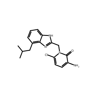 CC(C)Cc1cccc2[nH]c(Cn3c(Cl)ccc(N)c3=O)nc12